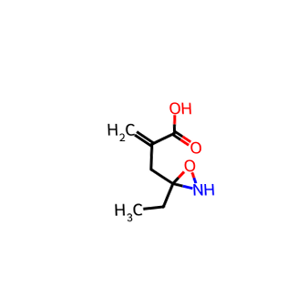 C=C(CC1(CC)NO1)C(=O)O